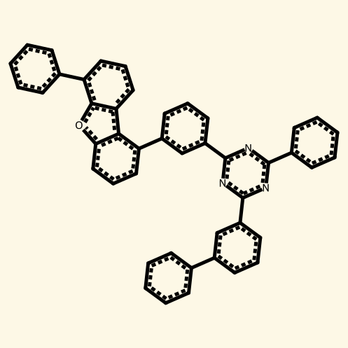 c1ccc(-c2cccc(-c3nc(-c4ccccc4)nc(-c4cccc(-c5cccc6oc7c(-c8ccccc8)cccc7c56)c4)n3)c2)cc1